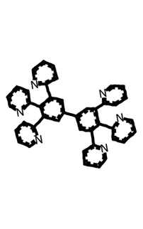 c1ccc(-c2cc(-c3cc(-c4ccccn4)c(-c4ccccn4)c(-c4ccccn4)c3)cc(-c3ccccn3)c2-c2ccccn2)nc1